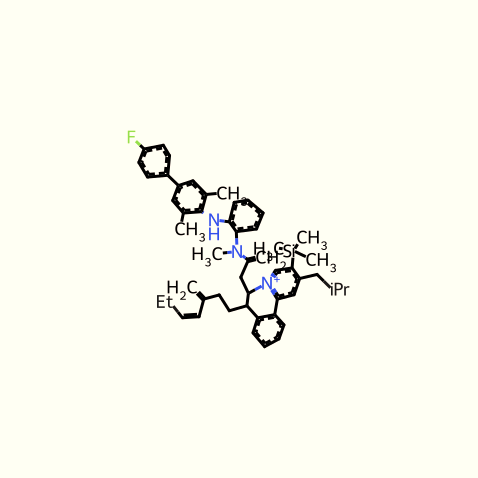 C=C(/C=C\CC)CCC1c2ccccc2-c2cc(CC(C)C)c([Si](C)(C)C)c[n+]2C1CC(=C)N(C)c1ccccc1Nc1c(C)cc(-c2ccc(F)cc2)cc1C